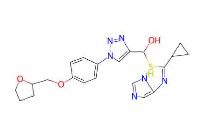 OC(c1cn(-c2ccc(OCC3CCCO3)cc2)nn1)[SH]1C(C2CC2)=Nc2cncn21